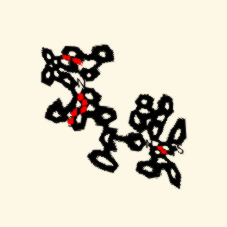 c1ccc(-c2cc(-c3ccc(N(c4ccc5c6ccccc6c6ccccc6c5c4)c4cc5c(cc4-c4cccc6sc7ccccc7c46)-c4ccccc4C54c5ccccc5-c5ccccc54)cc3)cc(-c3ccc4c5ccc(N(c6ccc(-c7ccccc7-c7ccccc7)cc6)c6cc7c(cc6-c6cccc8sc9ccccc9c68)-c6ccccc6C76c7ccccc7-c7ccccc76)cc5c5ccccc5c4c3)c2)cc1